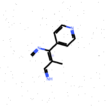 C=N/C(=C(/C)C=N)c1ccncc1